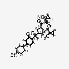 CCN1CCC(c2ccc(C(F)(F)C3C[C@@H](C(=O)NC4(C#N)CC4)N(C(=O)C4(C(F)(F)F)CC4)C3)c(Cl)c2)CC1